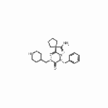 NC(=O)C1(C(=O)N[C@H](Cc2ccccc2)C(=O)NCC2CCNCC2)CCCC1